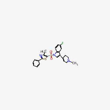 Cc1nc(-c2ccccc2)sc1S(=O)(=O)n1cc(C2=CCN(C)CC2)c2cc(F)ccc21